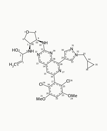 C=CC(O)N[C@H]1COC[C@H]1Nc1ncc2cc(-c3c(Cl)c(OC)cc(OC)c3Cl)nc(-c3cnn(CC4CC4)c3)c2n1